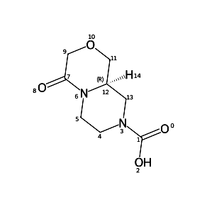 O=C(O)N1CCN2C(=O)COC[C@H]2C1